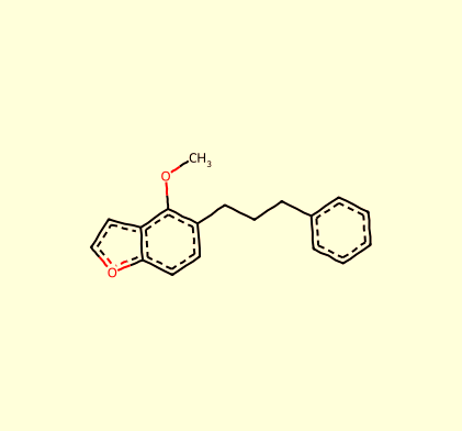 COc1c(CCCc2ccccc2)ccc2occc12